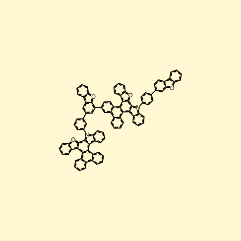 c1cc(-c2cc(-c3ccc4c(c3)c3ccccc3c3c4c4c5ccccc5oc4c4c3c3ccccc3n4-c3ccc(-c4ccc5c(c4)oc4ccccc45)cc3)c3oc4ccccc4c3c2)cc(-n2c3ccccc3c3c4c5ccccc5c5ccccc5c4c4c5ccccc5oc4c32)c1